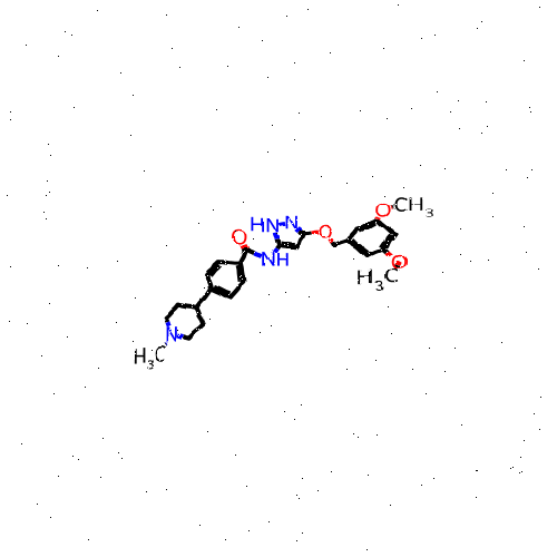 COc1cc(COc2cc(NC(=O)c3ccc(C4CCN(C)CC4)cc3)[nH]n2)cc(OC)c1